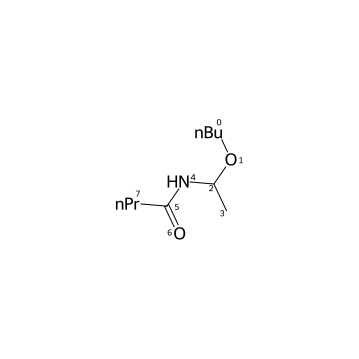 CCCCOC(C)NC(=O)CCC